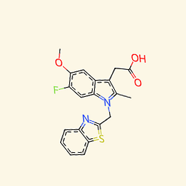 COc1cc2c(CC(=O)O)c(C)n(Cc3nc4ccccc4s3)c2cc1F